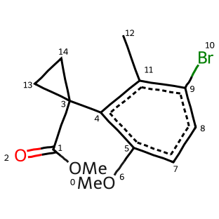 COC(=O)C1(c2c(OC)ccc(Br)c2C)CC1